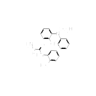 NNC(=O)Nc1ccccc1C(F)(F)F.O=C(O)N(c1ccccc1)c1ccccc1C(F)(F)F